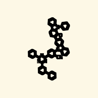 N#Cc1cc(-c2nc(-c3ccccc3)nc(-c3cccc(-c4ccccc4)c3)n2)ccc1-n1c2ccccc2c2cc3oc4c(ccc5c6ccccc6n(-c6ccccc6)c54)c3cc21